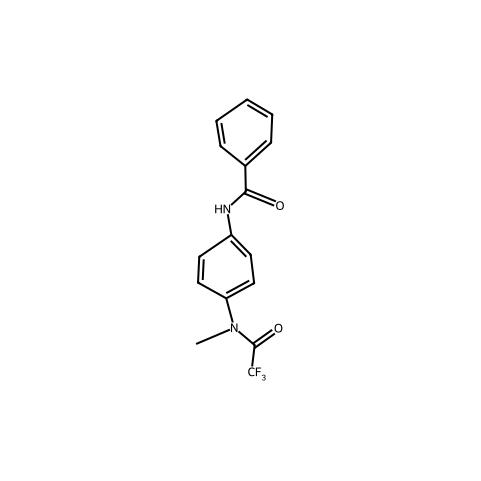 CN(C(=O)C(F)(F)F)c1ccc(NC(=O)c2ccccc2)cc1